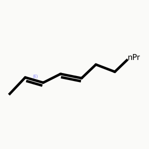 C/C=C/C=CCCCCC